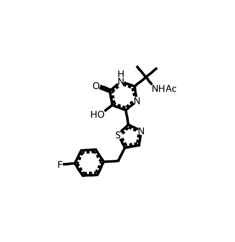 CC(=O)NC(C)(C)c1nc(-c2ncc(Cc3ccc(F)cc3)s2)c(O)c(=O)[nH]1